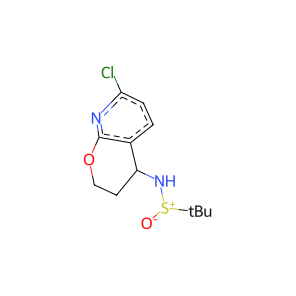 CC(C)(C)[S+]([O-])NC1CCOc2nc(Cl)ccc21